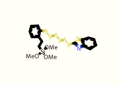 CO[Si](CCc1ccccc1SSSSSSc1nc2ccccc2s1)(OC)OC